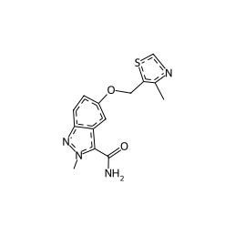 Cc1ncsc1COc1ccc2nn(C)c(C(N)=O)c2c1